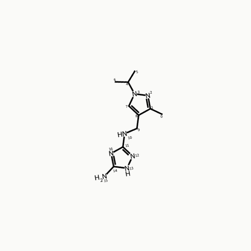 Cc1nn(C(C)C)cc1CNc1n[nH]c(N)n1